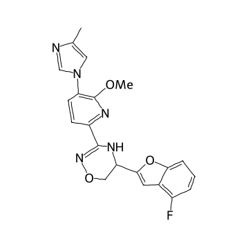 COc1nc(C2=NOCC(c3cc4c(F)cccc4o3)N2)ccc1-n1cnc(C)c1